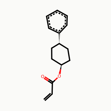 C=CC(=O)O[C@H]1CC[C@H](c2ccccc2)CC1